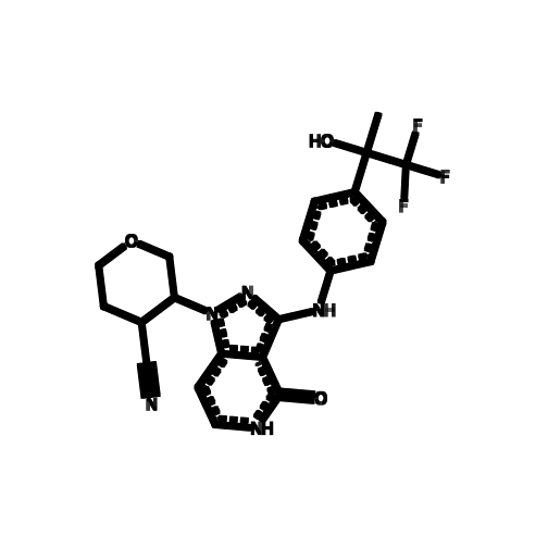 CC(O)(c1ccc(Nc2nn(C3COCCC3C#N)c3cc[nH]c(=O)c23)cc1)C(F)(F)F